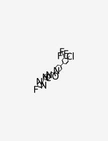 O=C(CN1CC2CCC1CN2c1ncc(F)cn1)N1CC=C(c2ccc(Cl)c(C(F)(F)F)c2)CC1